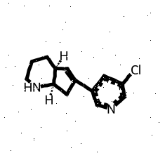 Clc1cncc(C2=C[C@@H]3CCCN[C@@H]3C2)c1